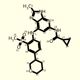 Cc1nc2c(Nc3ccc(C4CCCOC4)cc3S(C)(=O)=O)cc(NC(=O)C3CC3)nc2[nH]1